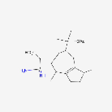 CC(=O)OC(C)(C)C1CCC(C)C2=C(C1)C(C)CC2.N=C(N)CC(=O)O